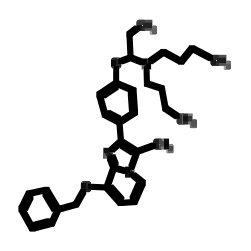 CCCCN(CCCC)C(CC)Oc1ccc(-c2nc3c(OCc4ccccc4)cccn3c2C)cc1